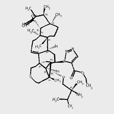 COC(=O)c1cnnn1[C@@H]1C[C@@]23COC[C@](C)([C@@H]2CC[C@H]2C3=CC[C@@]3(C)[C@H](C(=O)O)[C@@](C)([C@H](C)C(C)C)CC[C@]23C)[C@H]1OC[C@](C)(N)C(C)C